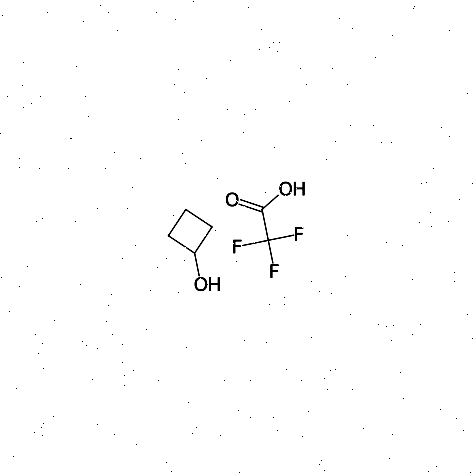 O=C(O)C(F)(F)F.OC1CCC1